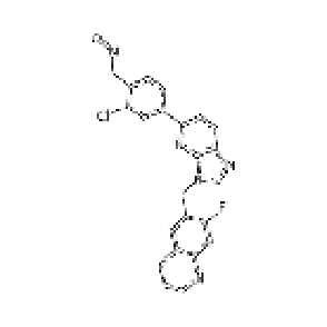 O=NCc1ccc(-c2ccc3ncn(Cc4cc5cccnc5cc4F)c3n2)cc1Cl